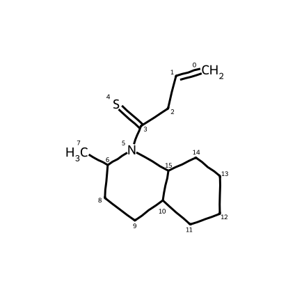 C=CCC(=S)N1C(C)CCC2CCCCC21